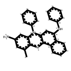 Cc1cc(N)cc2c1nc1c3ccccc3c(Nc3ccccc3)cc1[n+]2-c1ccccc1